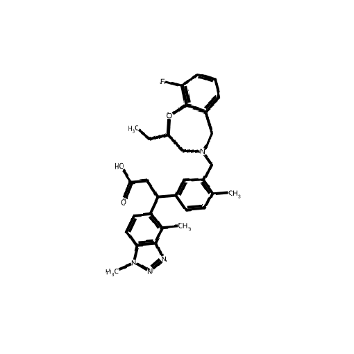 CCC1CN(Cc2cc(C(CC(=O)O)c3ccc4c(nnn4C)c3C)ccc2C)Cc2cccc(F)c2O1